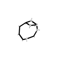 C1CCOP2OC(CC1)O2